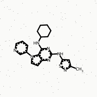 Cc1cc(Nc2nc(NC3CCCCC3)c3c(ccn3-c3cccnc3)n2)sn1